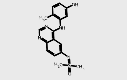 Cc1ccc(O)cc1Nc1ncnc2ccc(N=S(C)(C)=O)cc12